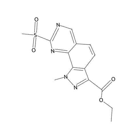 CCOC(=O)c1nn(C)c2c1ccc1cnc(S(C)(=O)=O)nc12